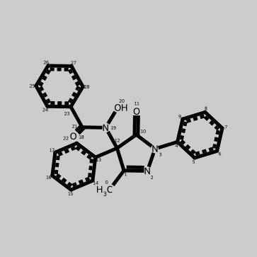 CC1=NN(c2ccccc2)C(=O)C1(c1ccccc1)N(O)C(=O)c1ccccc1